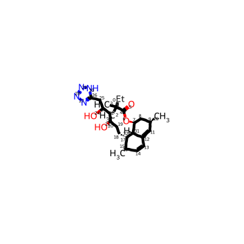 CCC(C)(C)C(=O)O[C@H]1C[C@@H](C)C=C2C=C[C@H](C)[C@H](CCC(O)CC(O)Cc3nnn[nH]3)[C@H]21